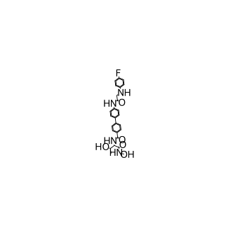 C[C@@H](O)[C@H](NC(=O)c1ccc(-c2ccc(NC(=O)CNc3ccc(F)cc3)cc2)cc1)C(=O)NO